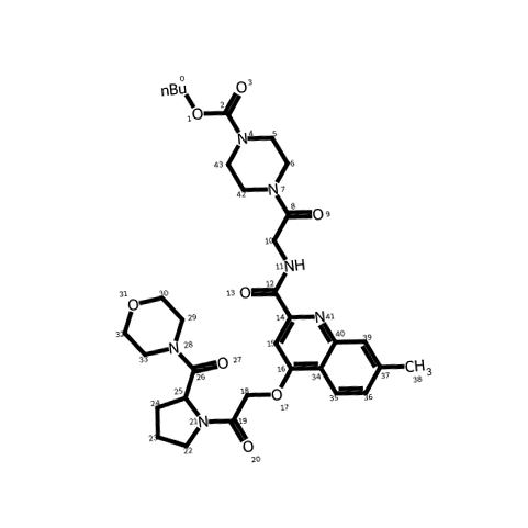 CCCCOC(=O)N1CCN(C(=O)CNC(=O)c2cc(OCC(=O)N3CCCC3C(=O)N3CCOCC3)c3ccc(C)cc3n2)CC1